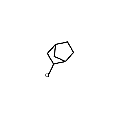 ClC1[CH]C2CCC1C2